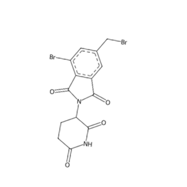 O=C1CCC(N2C(=O)c3cc(CBr)cc(Br)c3C2=O)C(=O)N1